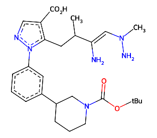 CC(Cc1c(C(=O)O)cnn1-c1cccc(C2CCCN(C(=O)OC(C)(C)C)C2)c1)/C(N)=C/N(C)N